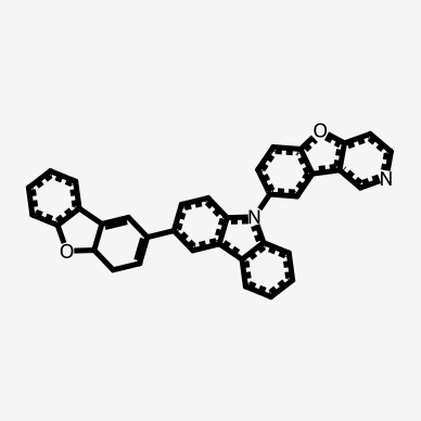 C1=C(c2ccc3c(c2)c2ccccc2n3-c2ccc3oc4ccncc4c3c2)C=C2c3ccccc3OC2C1